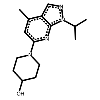 Cc1cc(N2CCC(O)CC2)nc2c1cnn2C(C)C